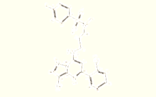 Cc1ccc(S(=O)(=O)N(C)CCCNc2cc(-c3ccccc3Cl)nc3c(Br)cnn23)cc1